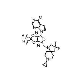 CC1(C)O[C@@H]2[C@H](O1)[C@@H](CN1CC(F)(F)CC13CCN(C1CC1)CC3)O[C@H]2n1ccc2c(Cl)ncnc21